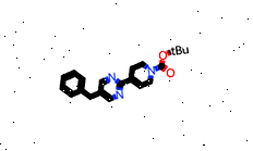 CC(C)(C)OC(=O)N1CC=C(c2ncc(Cc3ccccc3)cn2)CC1